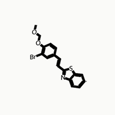 COCOc1ccc(C=Cc2nc3cc[c]cc3s2)cc1Br